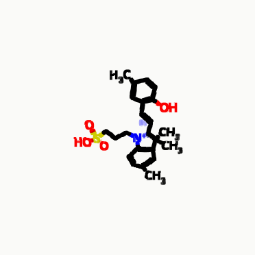 Cc1ccc(O)c(/C=C/C2=[N+](CCCS(=O)(=O)O)c3ccc(C)cc3C2(C)C)c1